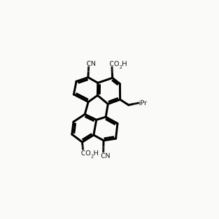 CC(C)Cc1cc(C(=O)O)c2c(C#N)ccc3c4ccc(C(=O)O)c5c(C#N)ccc(c1c23)c54